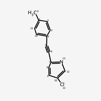 Cc1ccc(C#Cc2ccc(Cl)cn2)cc1